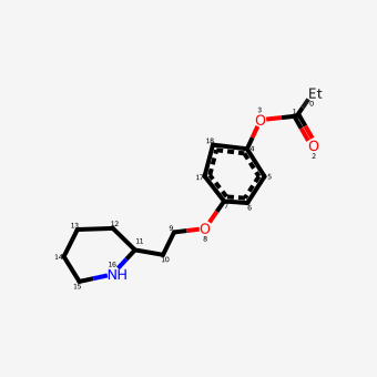 CCC(=O)Oc1ccc(OCCC2CCCCN2)cc1